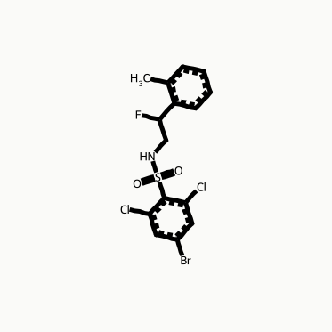 Cc1ccccc1C(F)CNS(=O)(=O)c1c(Cl)cc(Br)cc1Cl